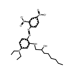 CCCCCCC(O)CNc1cc(N(CC)CC)ccc1/N=N/c1ccc([N+](=O)[O-])cc1[N+](=O)[O-]